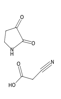 N#CCC(=O)O.O=C1CCNC1=O